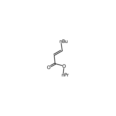 CCCCC=CC(=O)OCCC